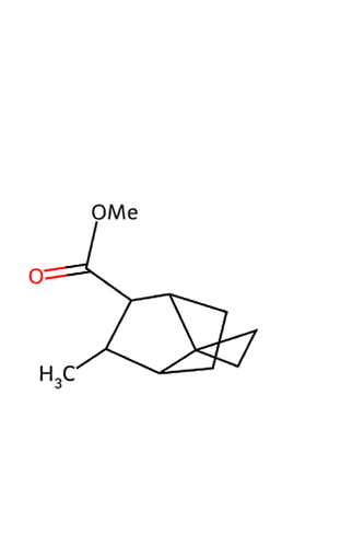 COC(=O)C1C(C)C2CCC1C21CC1